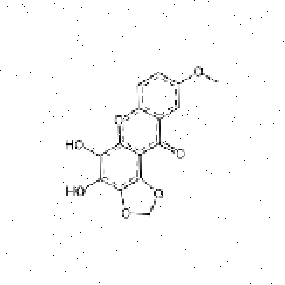 COc1ccc2oc3c(O)c(O)c4c(c3c(=O)c2c1)OCO4